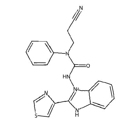 N#CCCN(C(=O)N[n+]1c(-c2cscn2)[nH]c2ccccc21)c1ccccc1